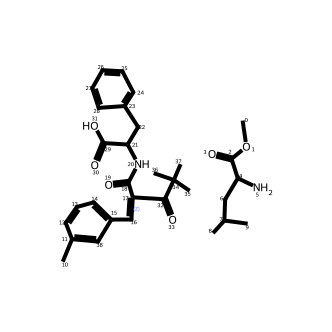 COC(=O)C(N)CC(C)C.Cc1cccc(/C=C(\C(=O)NC(Cc2ccccc2)C(=O)O)C(=O)C(C)(C)C)c1